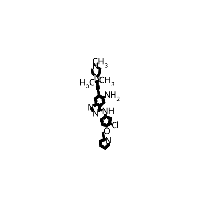 CN1CCN(C(C)(C)C#Cc2cc3ncnc(Nc4ccc(OCc5ccccn5)c(Cl)c4)c3cc2N)CC1